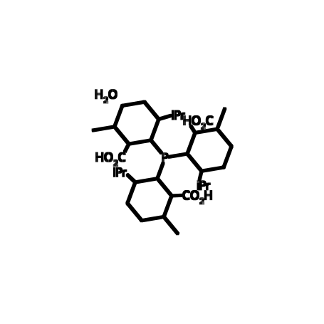 CC(C)C1CCC(C)C(C(=O)O)C1P(C1C(C(C)C)CCC(C)C1C(=O)O)C1C(C(C)C)CCC(C)C1C(=O)O.O